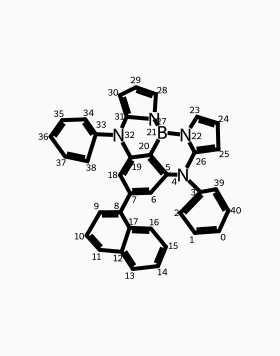 c1ccc(N2c3cc(-c4cccc5ccccc45)cc4c3B(n3cccc32)n2cccc2N4c2ccccc2)cc1